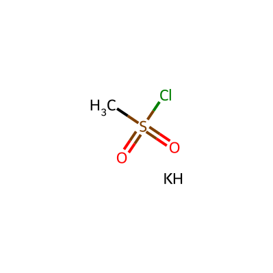 CS(=O)(=O)Cl.[KH]